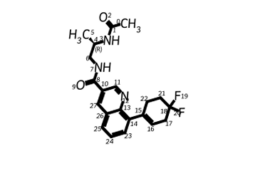 CC(=O)N[C@H](C)CNC(=O)c1cnc2c(C3=CCC(F)(F)CC3)cccc2c1